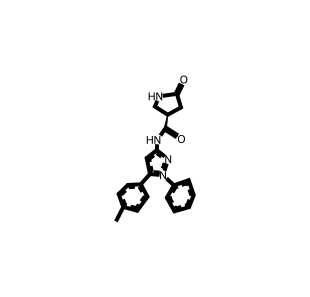 Cc1ccc(-c2cc(NC(=O)[C@H]3CNC(=O)C3)nn2-c2ccccc2)cc1